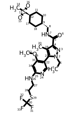 CCn1nc(C(=O)NC[C@H]2CC[C@H](S(C)(=O)=O)CC2)c(C)c1-c1cnc(NCCSC(F)(F)F)cc1OC